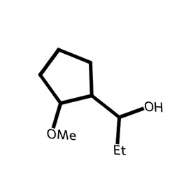 CCC(O)C1CCCC1OC